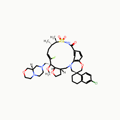 CO[C@@]1(CN2CCN3CCOC[C@@H]3C2)/C(F)=C/C[C@H](C)[C@@H](C)S(=O)(=O)NC(=O)c2ccc3c(c2)N(C[C@@H]2CCO[C@H]21)C[C@@]1(CCCc2cc(Cl)ccc21)CO3